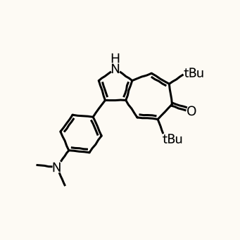 CN(C)c1ccc(-c2c[nH]c3cc(C(C)(C)C)c(=O)c(C(C)(C)C)cc23)cc1